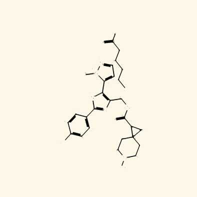 CCC(=O)CCCCC[C@H](NC(=O)C1CC12CCN(CC)CC2)c1nc(-c2ccc(F)cc2)[nH]c1-c1ccnn1C